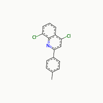 Cc1ccc(-c2cc(Cl)c3cccc(Cl)c3n2)cc1